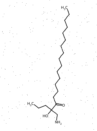 CCCCCCCCCCCCCCCC(=O)C(O)(CN)CCC